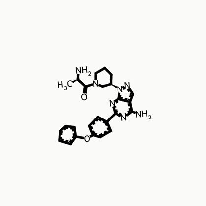 C[C@@H](N)C(=O)N1CCC[C@@H](n2ncc3c(N)nc(-c4ccc(Oc5ccccc5)cc4)nc32)C1